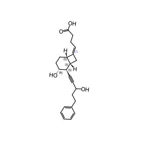 O=C(O)CC/C=C1/C[C@@H]2[C@@H](C#CC(O)CCc3ccccc3)[C@H](O)CC[C@H]12